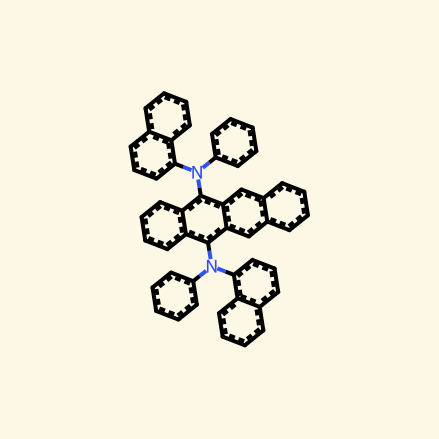 c1ccc(N(c2cccc3ccccc23)c2c3ccccc3c(N(c3ccccc3)c3cccc4ccccc34)c3cc4ccccc4cc23)cc1